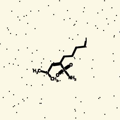 CN(C)C=C(CCCCI)S(N)(=O)=O